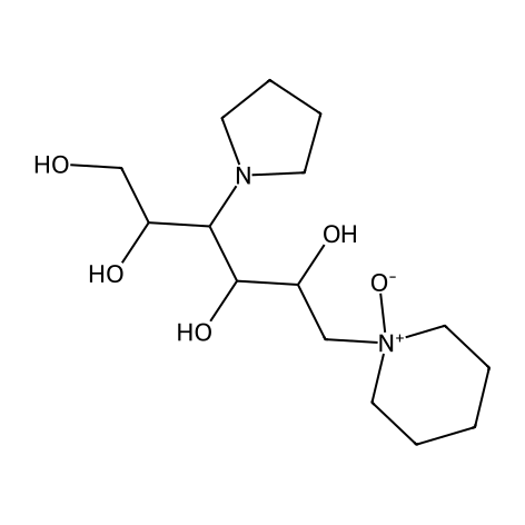 [O-][N+]1(CC(O)C(O)C(C(O)CO)N2CCCC2)CCCCC1